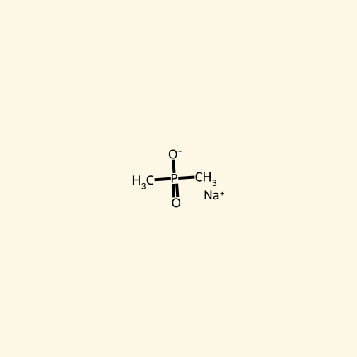 CP(C)(=O)[O-].[Na+]